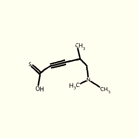 CC(C#CC(O)=S)CN(C)C